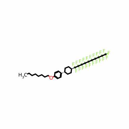 CCCCCCCCOc1ccc([C@H]2CC[C@H](C(F)(F)C(F)(F)C(F)(F)C(F)(F)C(F)(F)C(F)(F)C(F)(F)C(F)(F)C(F)(F)C(F)(F)F)CC2)cc1